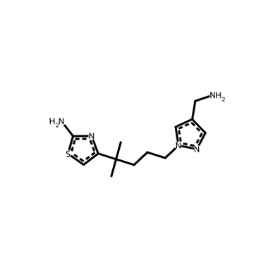 CC(C)(CCCn1cc(CN)cn1)c1csc(N)n1